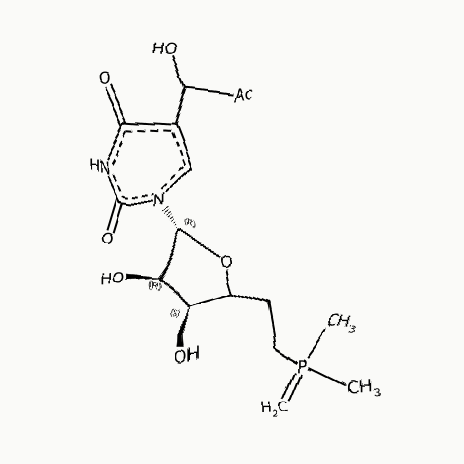 C=P(C)(C)CCC1O[C@@H](n2cc(C(O)C(C)=O)c(=O)[nH]c2=O)[C@H](O)[C@@H]1O